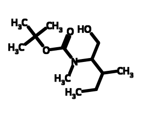 CCC(C)C(CO)N(C)C(=O)OC(C)(C)C